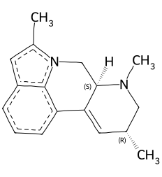 Cc1cc2cccc3c2n1C[C@@H]1C3=C[C@@H](C)CN1C